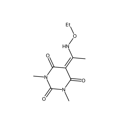 CCONC(C)=C1C(=O)N(C)C(=O)N(C)C1=O